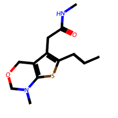 CCCc1sc2c(c1CC(=O)NC)COCN2C